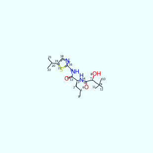 CCC[C@H](NC(=O)[C@@H](O)C(C)(C)C)C(=O)Nc1ncc(C(C)C)s1